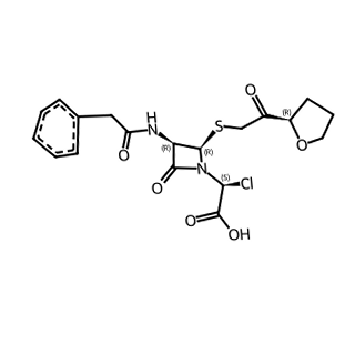 O=C(Cc1ccccc1)N[C@@H]1C(=O)N([C@@H](Cl)C(=O)O)[C@@H]1SCC(=O)[C@H]1CCCO1